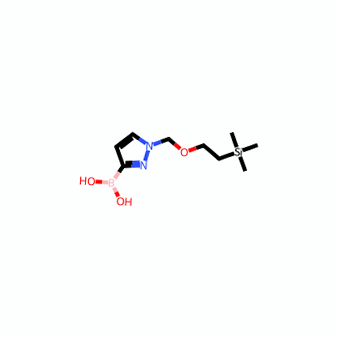 C[Si](C)(C)CCOCn1ccc(B(O)O)n1